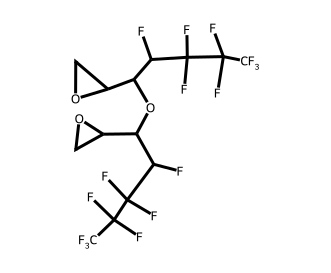 FC(C(OC(C1CO1)C(F)C(F)(F)C(F)(F)C(F)(F)F)C1CO1)C(F)(F)C(F)(F)C(F)(F)F